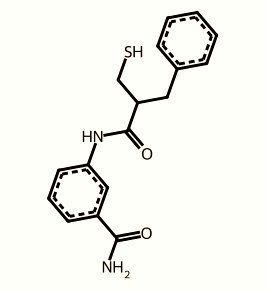 NC(=O)c1cccc(NC(=O)C(CS)Cc2ccccc2)c1